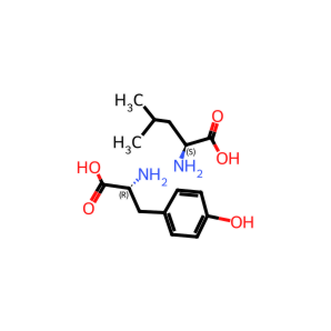 CC(C)C[C@H](N)C(=O)O.N[C@H](Cc1ccc(O)cc1)C(=O)O